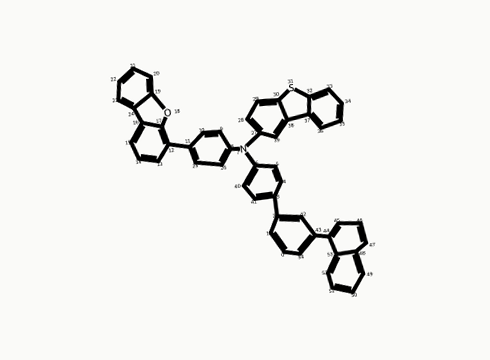 c1cc(-c2ccc(N(c3ccc(-c4cccc5c4oc4ccccc45)cc3)c3ccc4sc5ccccc5c4c3)cc2)cc(-c2cccc3ccccc23)c1